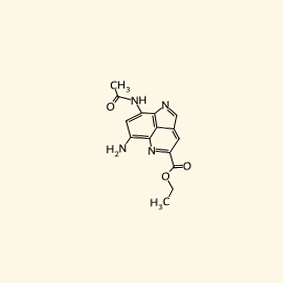 CCOC(=O)c1cc2c3c(c(NC(C)=O)cc(N)c3n1)N=C2